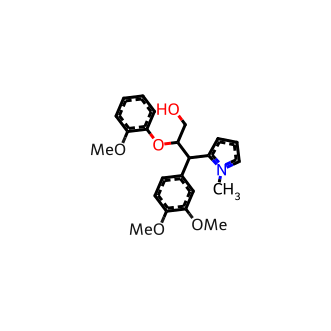 COc1ccc(C(c2cccn2C)C(CO)Oc2ccccc2OC)cc1OC